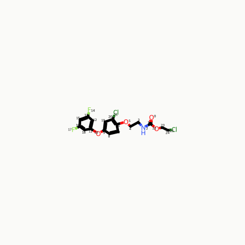 O=C(NCCOc1ccc(Oc2cc(F)cc(F)c2)cc1Cl)OCCCl